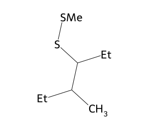 CCC(C)C(CC)SSC